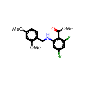 COC(=O)c1c(F)cc(Br)cc1NCc1ccc(OC)cc1OC